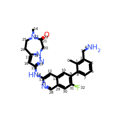 Cc1c(CN)cccc1-c1cc2cc(Nc3cc4n(n3)CC(=O)N(C)CC4)ncc2cc1F